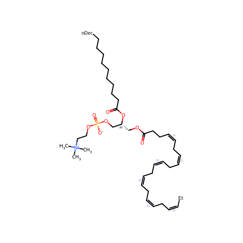 CC/C=C\C/C=C\C/C=C\C/C=C\C/C=C\C/C=C\CCC(=O)OC[C@H](COP(=O)([O-])OCC[N+](C)(C)C)OC(=O)CCCCCCCCCCCCCCCCCCC